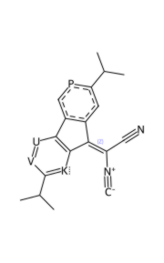 [C-]#[N+]/C(C#N)=C1\[C]2=[C]([U]=[V][C](C(C)C)=[K]2)c2cpc(C(C)C)cc21